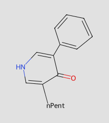 CCCCCc1c[nH]cc(-c2ccccc2)c1=O